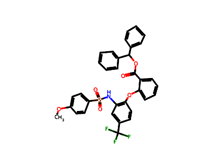 COc1ccc(S(=O)(=O)Nc2cc(C(F)(F)F)ccc2Oc2ccccc2C(=O)OC(c2ccccc2)c2ccccc2)cc1